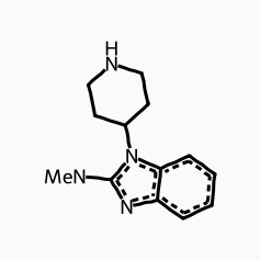 CNc1nc2ccccc2n1C1CCNCC1